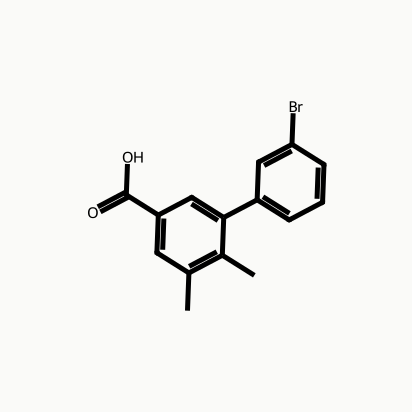 Cc1cc(C(=O)O)cc(-c2cccc(Br)c2)c1C